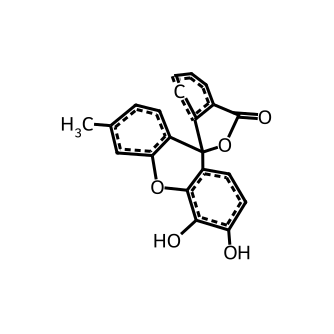 Cc1ccc2c(c1)Oc1c(ccc(O)c1O)C21OC(=O)c2ccccc21